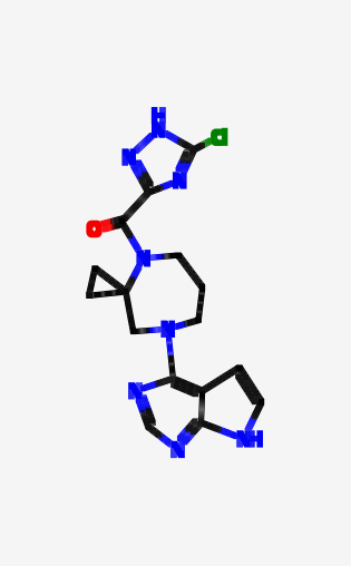 O=C(c1n[nH]c(Cl)n1)N1CCCN(c2ncnc3[nH]ccc23)CC12CC2